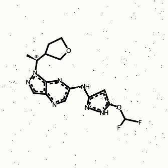 C[C@@H](C1CCOC1)n1ncc2ncc(Nc3cc(OC(F)F)[nH]n3)nc21